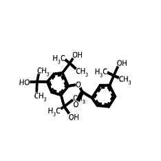 CC(C)(O)c1cccc(C(=O)Oc2c(C(C)(C)O)cc(C(C)(C)O)cc2C(C)(C)O)c1